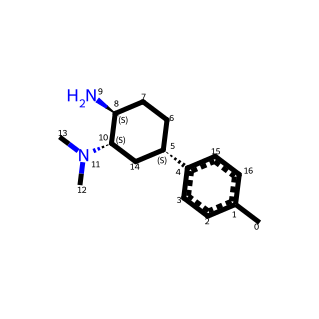 Cc1ccc([C@H]2CC[C@H](N)[C@@H](N(C)C)C2)cc1